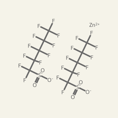 O=S(=O)([O-])C(F)(F)C(F)(F)C(F)(F)C(F)(F)C(F)(F)F.O=S(=O)([O-])C(F)(F)C(F)(F)C(F)(F)C(F)(F)C(F)(F)F.[Zn+2]